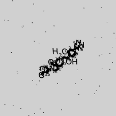 Cc1cc(-n2cnnn2)ccc1[C@@H](O)CN1CCC2(CC1)CCN(C1=CC(=O)OC1)C2=O